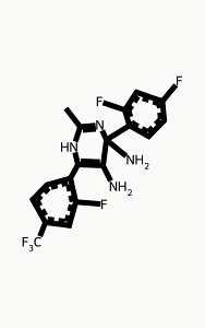 CC1=NC(N)(c2ccc(F)cc2F)C(N)=C(c2ccc(C(F)(F)F)cc2F)N1